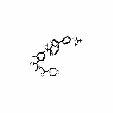 Cc1cc(Nc2nccn3c(-c4ccc(OC(F)F)cc4)cnc23)ccc1C(=O)N(C)CC(=O)N1CCOCC1